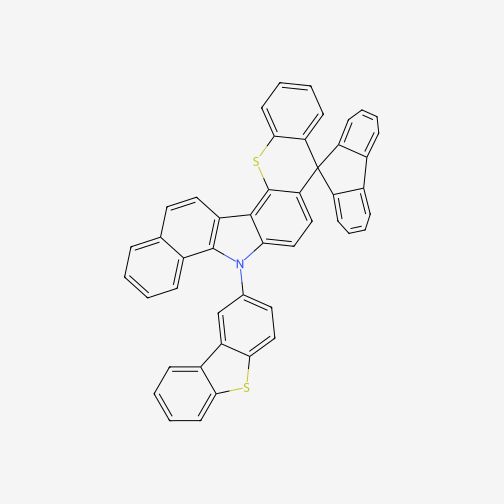 c1ccc2c(c1)Sc1c(ccc3c1c1ccc4ccccc4c1n3-c1ccc3sc4ccccc4c3c1)C21c2ccccc2-c2ccccc21